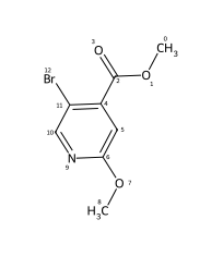 COC(=O)c1cc(OC)ncc1Br